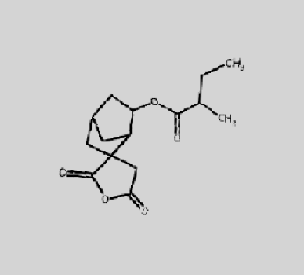 CCC(C)C(=O)OC1CC2CC1C1(CC(=O)OC1=O)C2